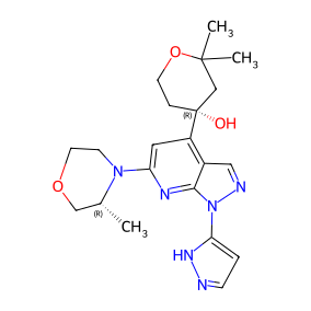 C[C@@H]1COCCN1c1cc([C@@]2(O)CCOC(C)(C)C2)c2cnn(-c3ccn[nH]3)c2n1